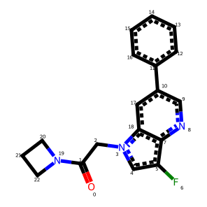 O=C(Cn1cc(F)c2ncc(-c3ccccc3)cc21)N1CCC1